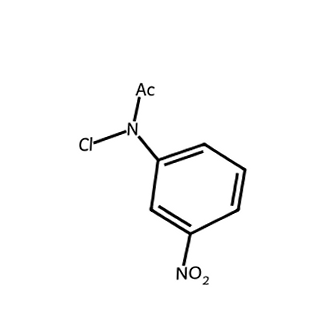 CC(=O)N(Cl)c1cccc([N+](=O)[O-])c1